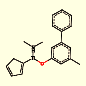 Cc1cc([O][Ti]([C]2=CC=CC2)[SiH](C)C)cc(-c2ccccc2)c1